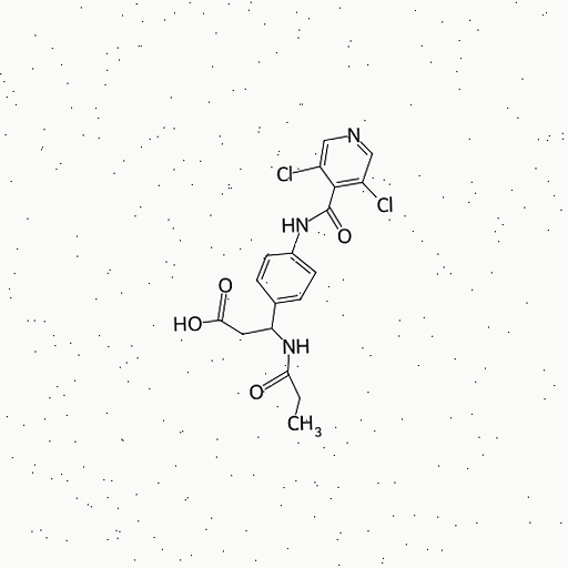 CCC(=O)NC(CC(=O)O)c1ccc(NC(=O)c2c(Cl)cncc2Cl)cc1